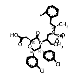 CCC(CN([C@@H](C)Cc1ccccc1F)[SH](=O)=O)N1C(=O)[C@H](CC(=O)O)O[C@H](c2cccc(Cl)c2)[C@H]1c1ccc(Cl)cc1